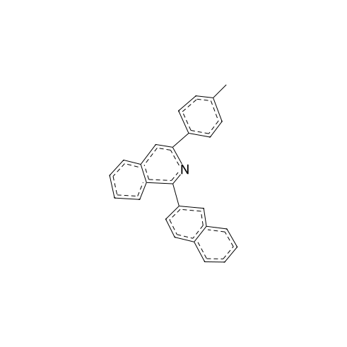 Cc1ccc(-c2cc3ccccc3c(-c3ccc4ccccc4c3)n2)cc1